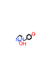 COc1ccc(CN2C=CC=NC2O)cc1